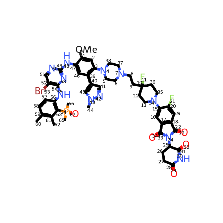 COc1cc(N2CCN(CCC3(F)CCN(c4cc5c(cc4F)C(=O)N(C4CCC(=O)NC4=O)C5=O)CC3)CC2)c(-c2cnn(C)c2)cc1Nc1ncc(Br)c(Nc2ccc(C)c(C)c2P(C)(C)=O)n1